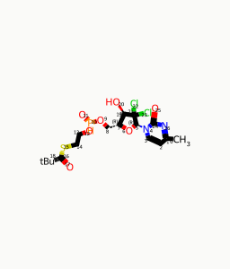 Cc1ccn([C@@H]2O[C@H](CO[PH](=O)OCCSC(=O)C(C)(C)C)[C@@H](O)C2(Cl)Cl)c(=O)n1